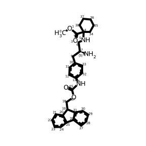 COC(=O)C1(NC[C@@H](N)Cc2ccc(NC(=O)OCC3c4ccccc4-c4ccccc43)cc2)CCCCC1